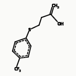 C=C(O)CCSc1ccc(C(F)(F)F)cc1